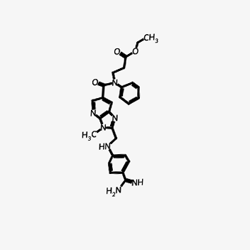 CCOC(=O)CCN(C(=O)c1cnc2c(c1)nc(CNc1ccc(C(=N)N)cc1)n2C)c1ccccc1